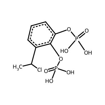 CC(Cl)c1cccc(OP(=O)(O)O)c1OP(=O)(O)O